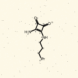 CC(C)CCCNc1c(N)c(=O)c1=O